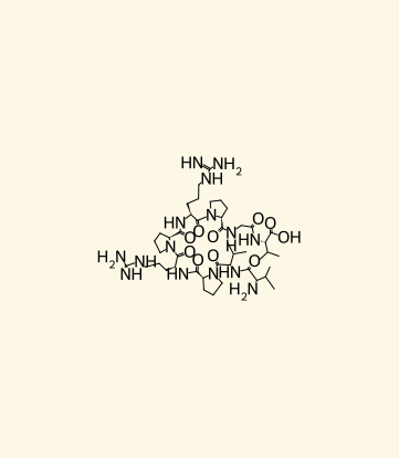 CC(C)[C@H](N)C(=O)N[C@H](C(=O)N1CCC[C@H]1C(=O)N[C@@H](CCCNC(=N)N)C(=O)N1CCC[C@H]1C(=O)N[C@@H](CCCNC(=N)N)C(=O)N1CCC[C@H]1C(=O)NCC(=O)N[C@H](C(=O)O)C(C)C)C(C)C